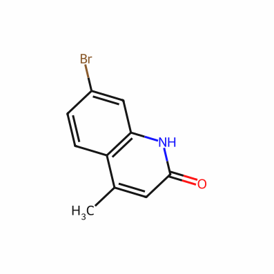 Cc1cc(=O)[nH]c2cc(Br)ccc12